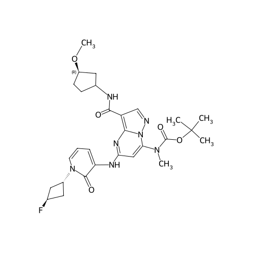 CO[C@@H]1CCC(NC(=O)c2cnn3c(N(C)C(=O)OC(C)(C)C)cc(Nc4cccn([C@H]5C[C@H](F)C5)c4=O)nc23)C1